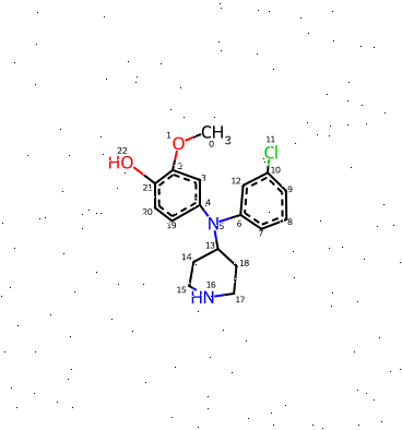 COc1cc(N(c2cccc(Cl)c2)C2CCNCC2)ccc1O